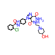 NC(=O)c1ncn(-c2ccc(NC(=O)c3ccccc3Cl)cc2)c1C(=O)NCCN1CCC(O)CC1